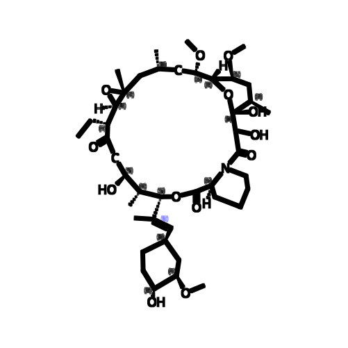 CC[C@H]1C(=O)C[C@H](O)[C@@H](C)[C@@H](/C(C)=C/[C@@H]2CC[C@@H](O)[C@H](OC)C2)OC(=O)[C@@H]2CCCCN2C(=O)C(O)[C@]2(O)O[C@H]([C@@H](OC)C[C@@H](C)C[C@@]3(C)O[C@H]13)[C@@H](OC)C[C@H]2C